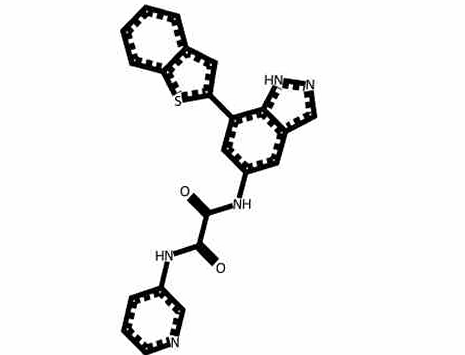 O=C(Nc1cccnc1)C(=O)Nc1cc(-c2cc3ccccc3s2)c2[nH]ncc2c1